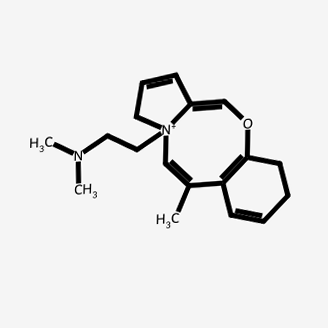 C/C1=C/[N+]2(CCN(C)C)CC=C/C2=C/OC2=C1C=CCC2